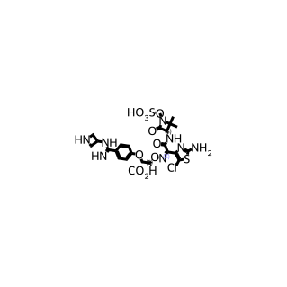 CC1(C)[C@H](NC(=O)/C(=N\O[C@@H](COc2ccc(C(=N)NC3CNC3)cc2)C(=O)O)c2nc(N)sc2Cl)C(=O)N1OS(=O)(=O)O